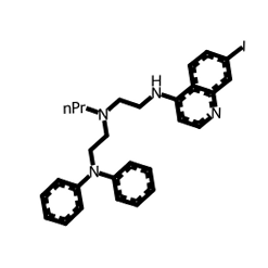 CCCN(CCNc1ccnc2cc(I)ccc12)CCN(c1ccccc1)c1ccccc1